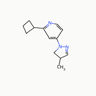 CC1C=NN(c2ccnc(C3CCC3)c2)C1